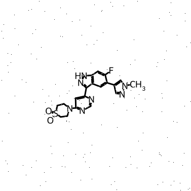 Cn1cc(-c2cc3c(-c4cc(N5CCS(=O)(=O)CC5)ncn4)n[nH]c3cc2F)cn1